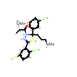 CNCCCC1(c2cccc(F)c2)SC(c2cc(F)ccc2F)=NN1C(=O)[C@H](C)OC